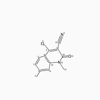 Cc1ccc2c(Cl)c(C#N)c(=O)n(C)c2c1